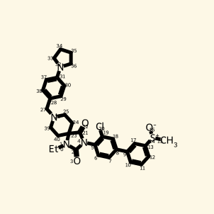 CCN1C(=O)N(c2ccc(-c3cccc([S+](C)[O-])c3)cc2Cl)C(=O)C12CCN(Cc1ccc(N3CCCC3)cc1)CC2